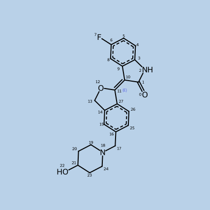 O=C1Nc2ccc(F)cc2/C1=C1\OCc2cc(CN3CCC(O)CC3)ccc21